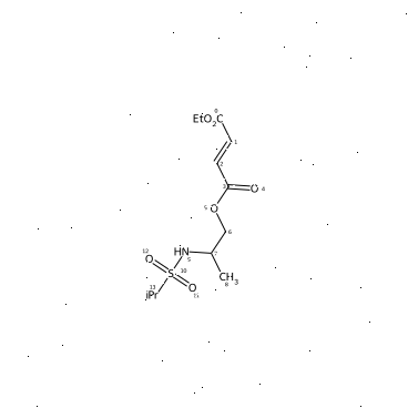 CCOC(=O)/C=C/C(=O)OCC(C)NS(=O)(=O)C(C)C